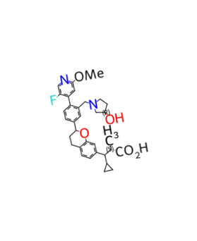 COc1cc(-c2ccc(C3CCc4ccc(C(C5CC5)[C@H](C)C(=O)O)cc4O3)cc2CN2CC[C@@H](O)C2)c(F)cn1